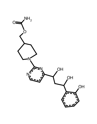 NC(=O)OCC1CCN(c2nccc(C(O)CC(O)c3ccccc3O)n2)CC1